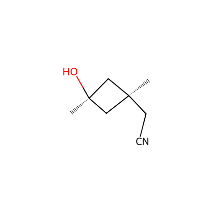 C[C@]1(O)C[C@@](C)(CC#N)C1